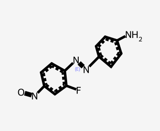 Nc1ccc(/N=N/c2ccc(N=O)cc2F)cc1